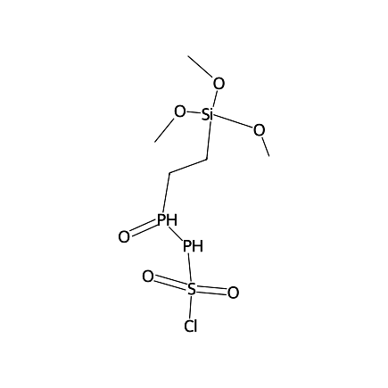 CO[Si](CC[PH](=O)PS(=O)(=O)Cl)(OC)OC